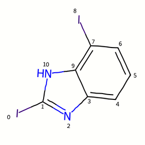 Ic1nc2cccc(I)c2[nH]1